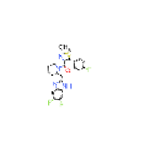 Cc1nc(C(=O)N2CCCCC2Cc2nc3cc(F)c(F)cc3[nH]2)c(-c2ccc(F)cc2)s1